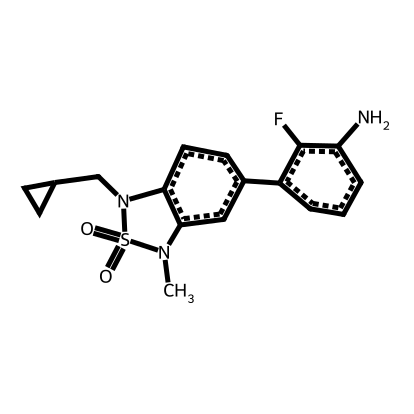 CN1c2cc(-c3cccc(N)c3F)ccc2N(CC2CC2)S1(=O)=O